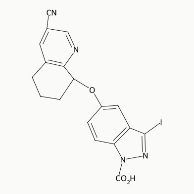 N#Cc1cnc2c(c1)CCCC2Oc1ccc2c(c1)c(I)nn2C(=O)O